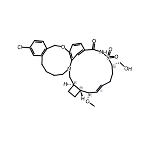 CO[C@H]1/C=C/CC[C@@H](CO)S(=O)(=O)NC(=O)c2ccc3c(c2)N(CCCCc2cc(Cl)ccc2CO3)C[C@@H]2CC[C@H]21